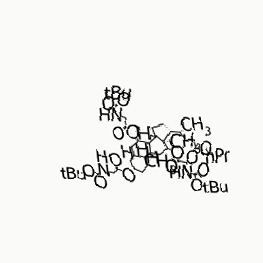 CCCOC(=O)CC[C@@H](C)[C@H]1CC[C@H]2[C@@H]3[C@H](OC(=O)CNC(=O)OC(C)(C)C)C[C@@H]4C[C@H](OC(=O)CNC(=O)OC(C)(C)C)CC[C@]4(C)[C@H]3C[C@H](OC(=O)CNC(=O)OC(C)(C)C)[C@]12C